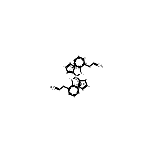 C=CCc1cccc(C)c1[O][Zr]([O]c1c(C)cccc1CC=C)([C]1=CC=CC1)[C]1=CC=CC1